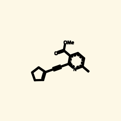 COC(=O)c1ccc(C)nc1C#CC1=CCCC1